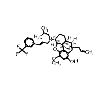 C=CCN1CC[C@]23c4c5c(O)cc(OC)c4O[C@H]2[C@@H](N(CC=Cc2cccc(C(F)(F)F)c2)CC(C)C)CC[C@H]3[C@H]1C5